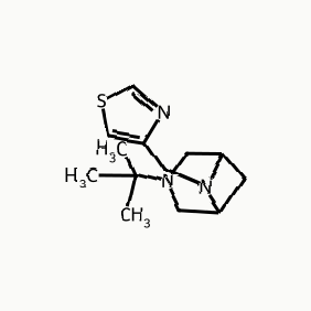 CC(C)(C)N1CC2CC(C1)N2Cc1cscn1